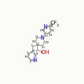 OCC1(Cc2cccnc2)CCN(c2ccc(C(F)(F)F)nc2)CC1